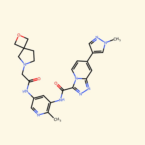 Cc1ncc(NC(=O)CN2CCC3(COC3)C2)cc1NC(=O)c1nnc2cc(-c3cnn(C)c3)ccn12